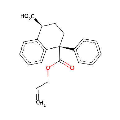 C=CCOC(=O)[C@@]1(c2ccccc2)CC[C@H](C(=O)O)c2ccccc21